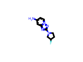 Nc1ccn2nc(N3CCC(F)C3)nc2c1